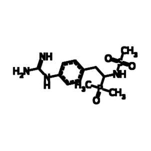 CP(C)(=O)C(Cc1ccc(NC(=N)N)cc1)NS(C)(=O)=O